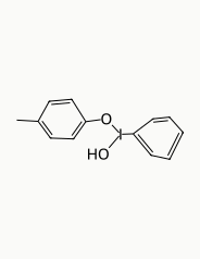 Cc1ccc(OI(O)c2ccccc2)cc1